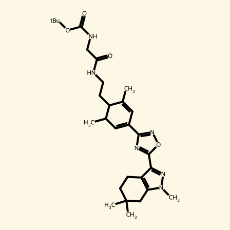 CC1=CC(c2noc(-c3nn(C)c4c3CCC(C)(C)C4)n2)=CC(C)C1CCNC(=O)CNC(=O)OC(C)(C)C